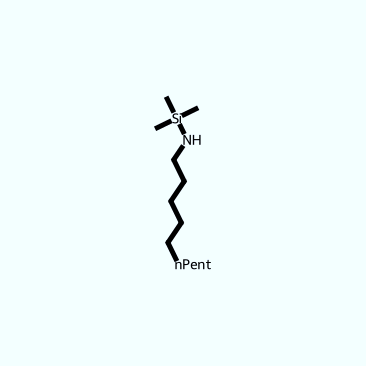 CCCCCCCCCCN[Si](C)(C)C